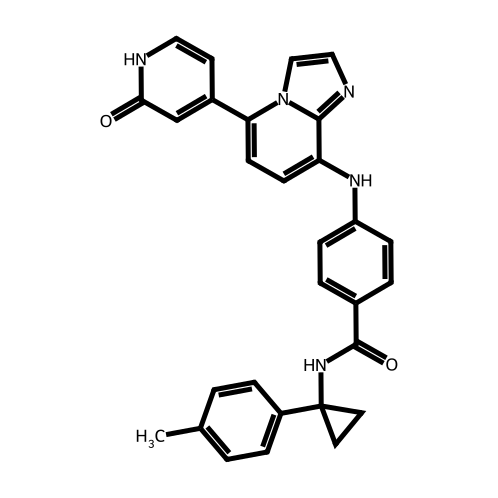 Cc1ccc(C2(NC(=O)c3ccc(Nc4ccc(-c5cc[nH]c(=O)c5)n5ccnc45)cc3)CC2)cc1